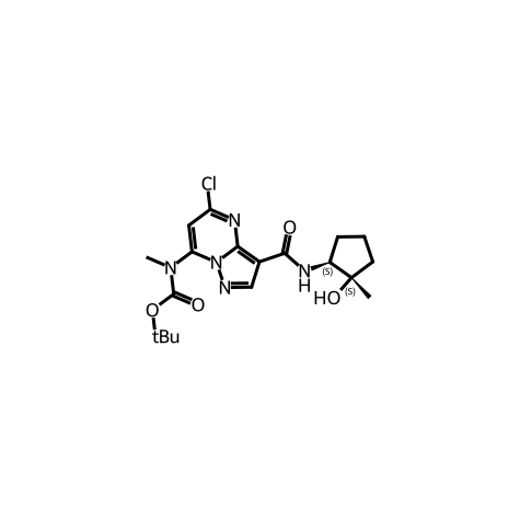 CN(C(=O)OC(C)(C)C)c1cc(Cl)nc2c(C(=O)N[C@H]3CCC[C@]3(C)O)cnn12